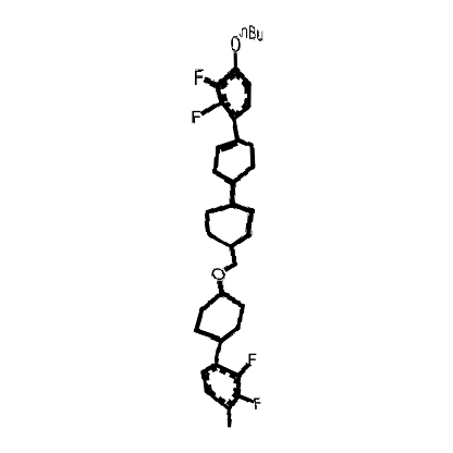 CCCCOc1ccc(C2=CCC(C3CCC(COC4CCC(c5ccc(C)c(F)c5F)CC4)CC3)CC2)c(F)c1F